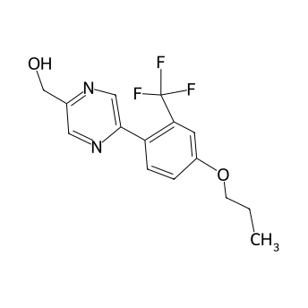 CCCOc1ccc(-c2cnc(CO)cn2)c(C(F)(F)F)c1